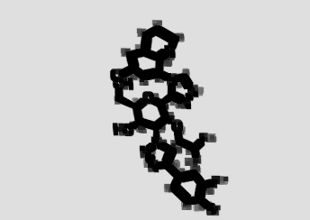 OC[C@H]1O[C@@H](c2nncn2-c2cc(Cl)cc3cccnc23)[C@H](OCC(F)F)[C@@H](n2cc(-c3ccc(Br)c(F)c3)nn2)[C@H]1O